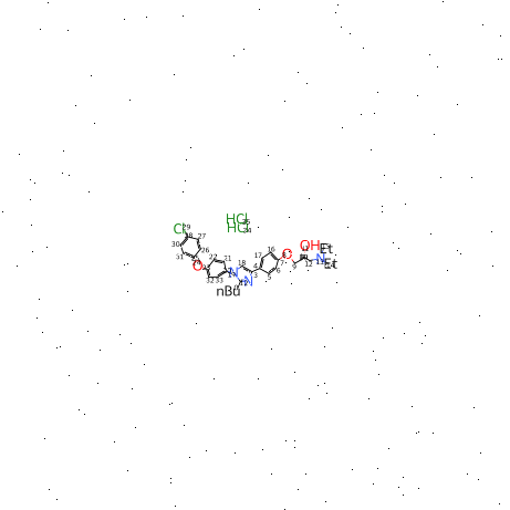 CCCCc1nc(-c2ccc(OC[C@H](O)CN(CC)CC)cc2)cn1-c1ccc(Oc2ccc(Cl)cc2)cc1.Cl.Cl